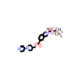 CC(C)(C)OC(=O)N1Cc2ccc(C(=O)OCC3CCN(c4ccncc4)CC3)cc2C1